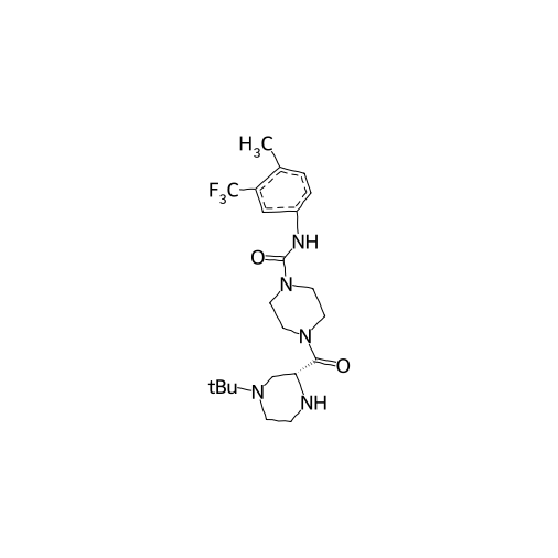 Cc1ccc(NC(=O)N2CCN(C(=O)[C@H]3CN(C(C)(C)C)CCN3)CC2)cc1C(F)(F)F